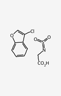 Clc1coc2ccccc12.O=C(O)CN=S(=O)=O